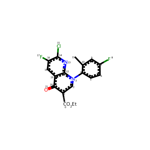 CCOC(=O)c1cn(-c2ccc(F)cc2C)c2nc(Cl)c(F)cc2c1=O